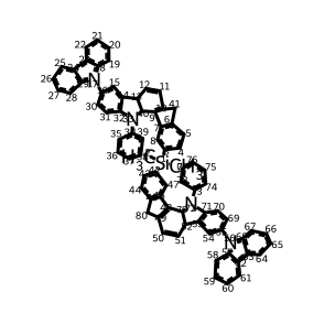 C[Si](C)(c1ccc2c(c1)C1=C(C=CC3c4cc(-n5c6ccccc6c6ccccc65)ccc4N(c4ccccc4)C13)C2)c1ccc2c(c1)C1=C(C=CC3c4cc(-n5c6ccccc6c6ccccc65)ccc4N(c4ccccc4)C13)C2